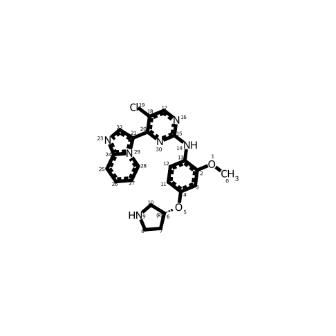 COc1cc(O[C@@H]2CCNC2)ccc1Nc1ncc(Cl)c(-c2cnc3ccccn23)n1